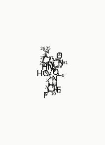 CC(=O)N[C@@H](Cc1cc(F)cc(F)c1)[C@H](O)CN[C@]1(c2cccc(C(C)C)c2)CCN(C)C(=O)C1